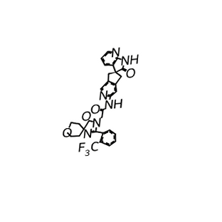 O=C(CN1C(=O)C2(CCOCC2)N=C1c1ccccc1C(F)(F)F)Nc1cc2c(cn1)C[C@]1(C2)C(=O)Nc2ncccc21